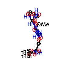 COC(=O)CN(CCNC(=O)CC(CCNC(=O)OC(C)(C)C)C(=O)Cn1cc(C)c(=O)[nH]c1=O)C(=O)Cn1cnc2c(NC(=O)OCc3ccc(C#Cc4cn([C@H]5CC(O[Si](C)(C)C(C)(C)C)[C@@H]([Si](C)(C)C(C)(C)C)O5)c(=O)[nH]c4=O)cc3)ncnc21